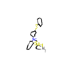 C[SH]1C=[N+](c2ccc(Sc3ccccc3)cc2)c2ccccc21